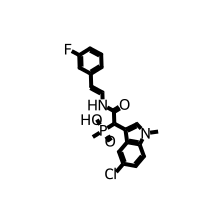 Cn1cc(C(C(=O)NC=Cc2cccc(F)c2)P(C)(=O)O)c2cc(Cl)ccc21